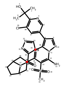 CC(C)(O)c1ncc(-c2cnn3c(N)c(S(C)(=O)=O)c(C4CC5CCC(C4)N5C(=O)c4nnc[nH]4)nc23)cc1Cl